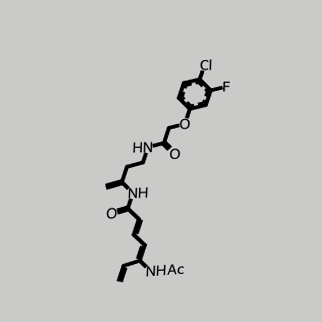 C=C/C(=C\C=C\C(=O)NC(=C)CCNC(=O)COc1ccc(Cl)c(F)c1)NC(C)=O